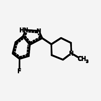 CN1CCC(c2n[nH]c3ccc(F)cc23)CC1